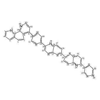 c1cnc2c(c1)ccc1c(-c3ccc(-c4ccc5cc(-c6ccc7nc(-c8ccncc8)ccc7c6)ccc5n4)cc3)ccnc12